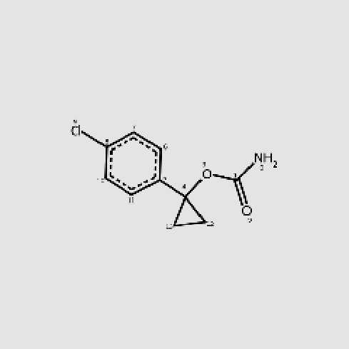 NC(=O)OC1(c2ccc(Cl)cc2)CC1